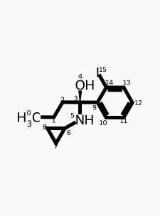 CCC[C@@](O)(NC1CC1)c1ccccc1I